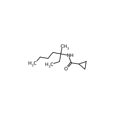 CCCCC(C)(CC)NC(=O)C1CC1